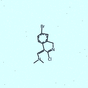 CN(C)C=C1C(Cl)=NCc2cc(Br)ccc21